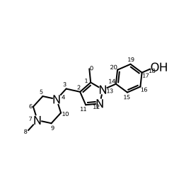 Cc1c(CN2CCN(C)CC2)cnn1-c1ccc(O)cc1